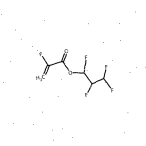 C=C(F)C(=O)OC(F)C(F)C(F)F